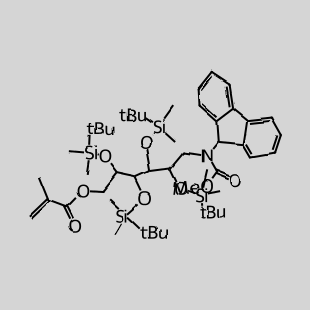 C=C(C)C(=O)OCC(O[Si](C)(C)C(C)(C)C)C(O[Si](C)(C)C(C)(C)C)C(O[Si](C)(C)C(C)(C)C)C(CN(C(=O)OC)C1c2ccccc2-c2ccccc21)O[Si](C)(C)C(C)(C)C